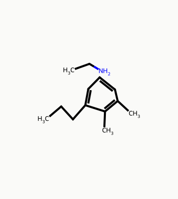 CCCc1cccc(C)c1C.CCN